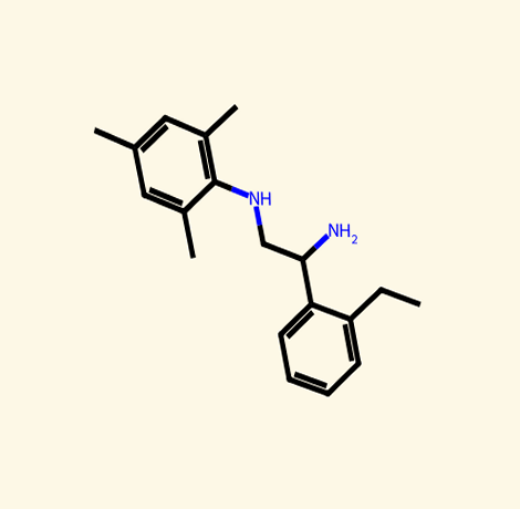 CCc1ccccc1C(N)CNc1c(C)cc(C)cc1C